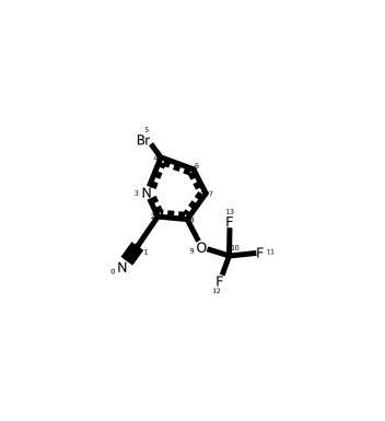 N#Cc1nc(Br)ccc1OC(F)(F)F